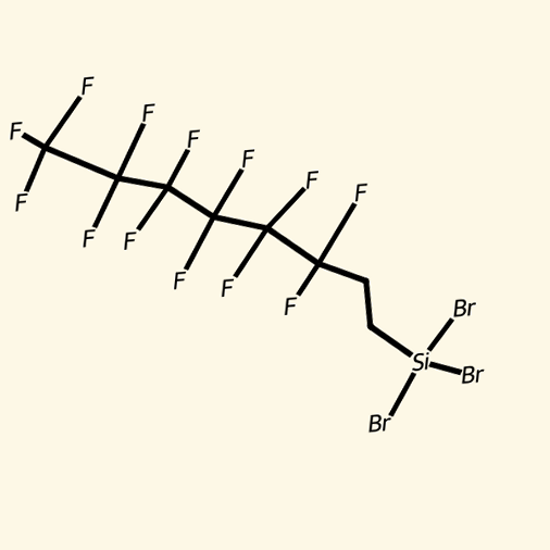 FC(F)(F)C(F)(F)C(F)(F)C(F)(F)C(F)(F)C(F)(F)CC[Si](Br)(Br)Br